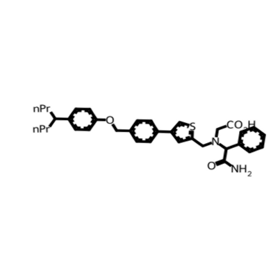 CCCC(CCC)c1ccc(OCc2ccc(-c3csc(CN(CC(=O)O)C(C(N)=O)c4ccccc4)c3)cc2)cc1